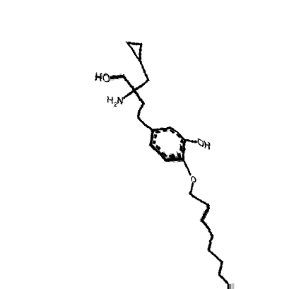 CC(C)CCCCCCCOc1ccc(CCC(N)(CO)CC2CC2)cc1O